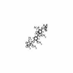 CCC(CC)(COc1ccc(C(CC)(CC)c2ccc(OS(=O)C(F)(F)F)c(C)c2)cc1C)OC(C)=O